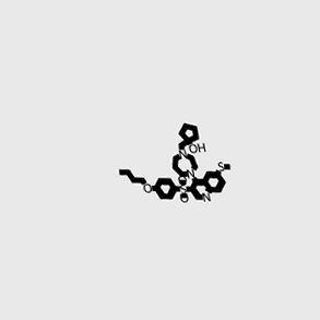 CCCCOc1ccc(S(=O)(=O)c2cnc3ccc(SC)cc3c2N2CCCN(CC3(O)CCCC3)CC2)cc1